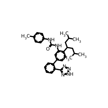 Cc1ccc(NC(=O)Nc2cc(-c3ccccc3-c3nn[nH]n3)ccc2C(CC(C)C)CC(C)C)cc1